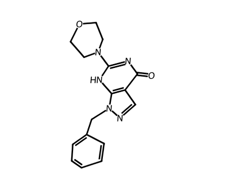 O=c1nc(N2CCOCC2)[nH]c2c1cnn2Cc1ccccc1